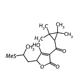 CSC(C)CC1OC(=O)C(C(=O)C2C(C)(C)C2(C)C)=C1O